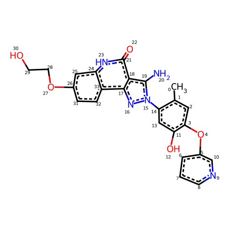 Cc1cc(Oc2cccnc2)c(O)cc1-n1nc2c(c1N)c(=O)[nH]c1cc(OCCO)ccc12